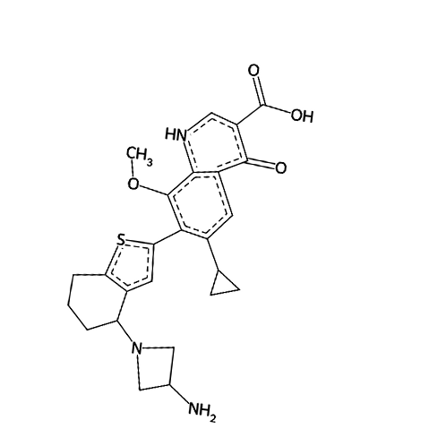 COc1c(-c2cc3c(s2)CCCC3N2CC(N)C2)c(C2CC2)cc2c(=O)c(C(=O)O)c[nH]c12